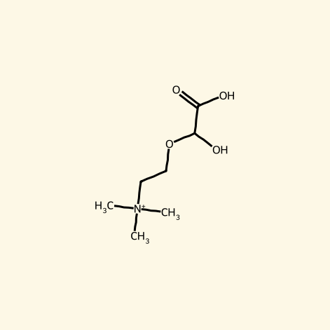 C[N+](C)(C)CCOC(O)C(=O)O